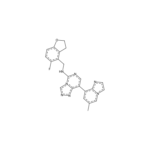 Cc1cc(-c2cnc(NCc3c(F)ccc4c3CCO4)n3cnnc23)c2nccn2c1